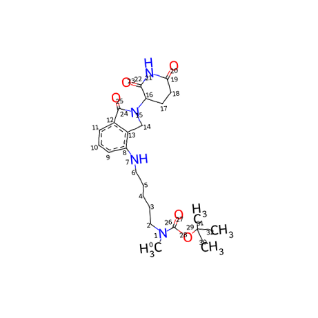 CN(CCCCCNc1cccc2c1CN(C1CCC(=O)NC1=O)C2=O)C(=O)OC(C)(C)C